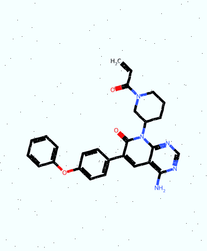 C=CC(=O)N1CCCC(n2c(=O)c(-c3ccc(Oc4ccccc4)cc3)cc3c(N)ncnc32)C1